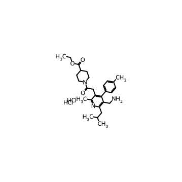 CCOC(=O)C1CCN(C(=O)Cc2c(C)nc(CC(C)C)c(CN)c2-c2ccc(C)cc2)CC1.Cl.Cl